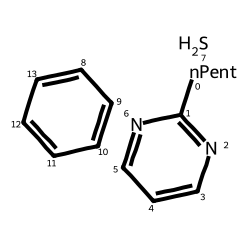 CCCCCc1ncccn1.S.c1ccccc1